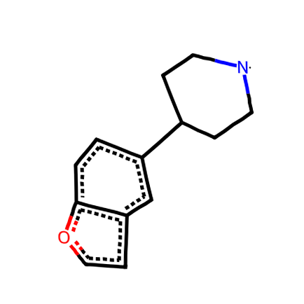 c1cc2cc(C3CC[N]CC3)ccc2o1